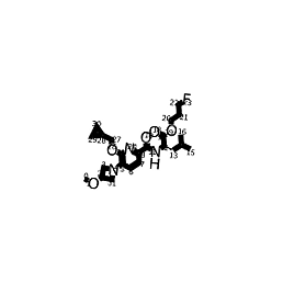 COC1CN(c2ccc(C(=O)N[C@@H](CC(C)C)C(=O)OCCCF)nc2OCC2CC2)C1